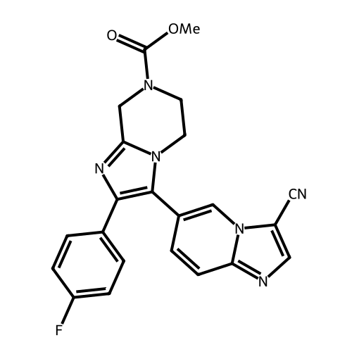 COC(=O)N1CCn2c(nc(-c3ccc(F)cc3)c2-c2ccc3ncc(C#N)n3c2)C1